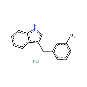 Cl.FC(F)(F)c1cccc([CH]c2c[nH]c3ccccc23)c1